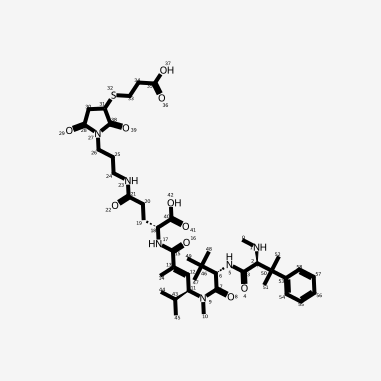 CN[C@H](C(=O)N[C@H](C(=O)N(C)[C@H](/C=C(\C)C(=O)N[C@H](CCC(=O)NCCCN1C(=O)CC(SCCC(=O)O)C1=O)C(=O)O)C(C)C)C(C)(C)C)C(C)(C)c1ccccc1